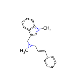 CN(CC=Cc1ccccc1)Cc1cn(C)c2ccccc12